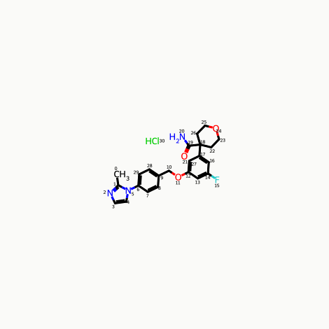 Cc1nccn1-c1ccc(COc2cc(F)cc(C3(C(N)=O)CCOCC3)c2)cc1.Cl